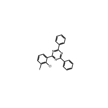 Fc1cccc(-c2nc(-c3ccccc3)nc(-c3ccccc3)n2)c1Cl